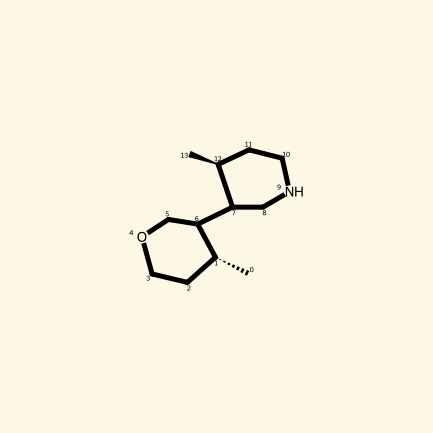 C[C@@H]1CCOCC1C1CNCC[C@@H]1C